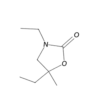 CCN1CC(C)(CC)OC1=O